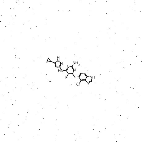 Nc1nc(Cc2ccc3[nH]cnc3c2Cl)c(F)c(Nc2cc(C3CC3)[nH]n2)n1